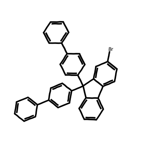 Brc1ccc2c(c1)C(c1ccc(-c3ccccc3)cc1)(c1ccc(-c3ccccc3)cc1)c1ccccc1-2